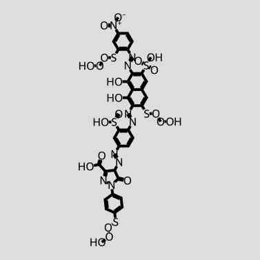 O=C(O)C1=NN(c2ccc(SOOO)cc2)C(=O)C1/N=N/c1ccc(/N=N/c2c(SOOO)cc3cc(S(=O)(=O)O)c(/N=N/c4ccc([N+](=O)[O-])cc4SOOO)c(O)c3c2O)c(S(=O)O)c1